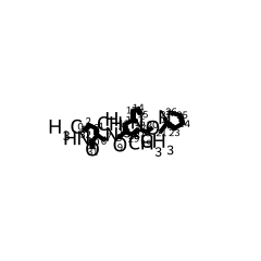 Cc1cc(C)c(CNC(=O)c2cc3cccn3c(C(C)OCc3ccccn3)c2C)c(=O)[nH]1